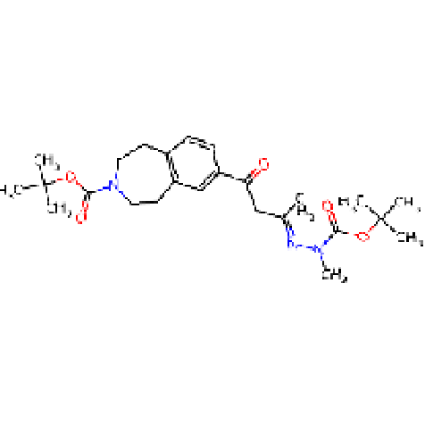 C/C(CC(=O)c1ccc2c(c1)CCN(C(=O)OC(C)(C)C)CC2)=N\N(C)C(=O)OC(C)(C)C